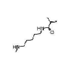 C=C(C)C(=O)NCCCCCNC